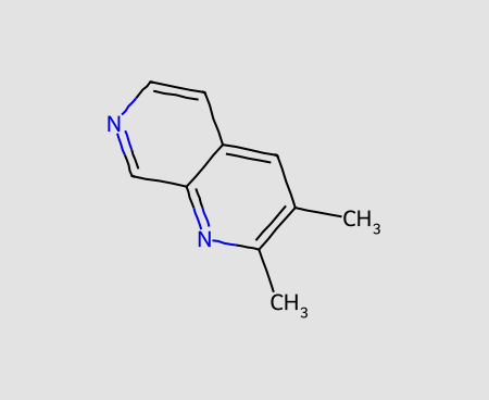 Cc1cc2ccncc2nc1C